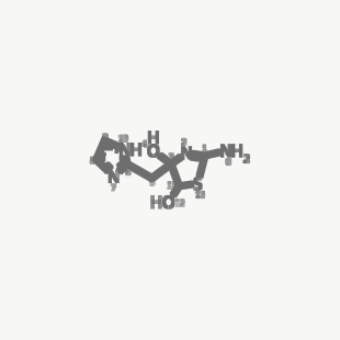 NC1=NC(O)(Cc2ncc[nH]2)C(O)S1